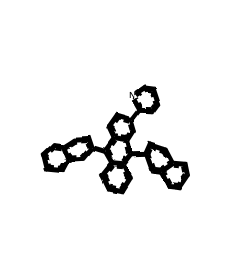 c1ccc(-c2ccc3c(-c4ccc5ccccc5c4)c4ccccc4c(-c4ccc5ccccc5c4)c3c2)nc1